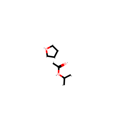 C1CCOC1.CC(=O)OC(C)C